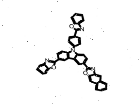 c1ccc2cc3oc(-c4ccc5c(c4)c4cc(-c6nc7ccccc7o6)ccc4n5-c4ccc(-c5nc6ccccc6o5)cc4)nc3cc2c1